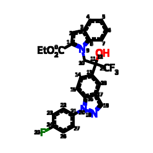 CCOC(=O)c1cc2ccccc2n1CC(O)(c1ccc2c(cnn2-c2ccc(F)cc2)c1)C(F)(F)F